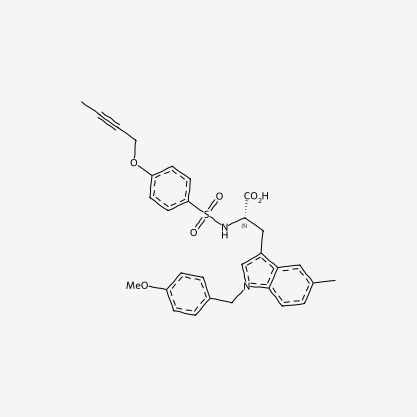 CC#CCOc1ccc(S(=O)(=O)N[C@@H](Cc2cn(Cc3ccc(OC)cc3)c3ccc(C)cc23)C(=O)O)cc1